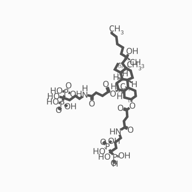 CCCCCC[C@](C)(O)[C@H]1CC[C@H]2[C@@H]3C[C@H](OC(=O)CCC(=O)NCCCC(O)(P(=O)(O)O)P(=O)(O)O)[C@H]4C[C@@H](OC(=O)CCC(=O)NCCCC(O)([PH](=O)O)P(=O)(O)O)CC[C@]4(C)[C@H]3CC[C@@]21C